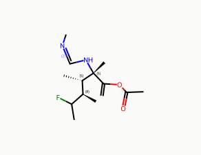 C=C(OC(C)=O)[C@@](C)(N/C=N\C)[C@@H](C)[C@@H](C)C(C)F